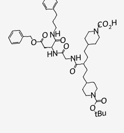 CC(C)(C)OC(=O)N1CCC(CCC(CCC2CCN(C(=O)O)CC2)C(=O)NCC(=O)N[C@@H](CC(=O)OCc2ccccc2)C(=O)NCCCc2ccccc2)CC1